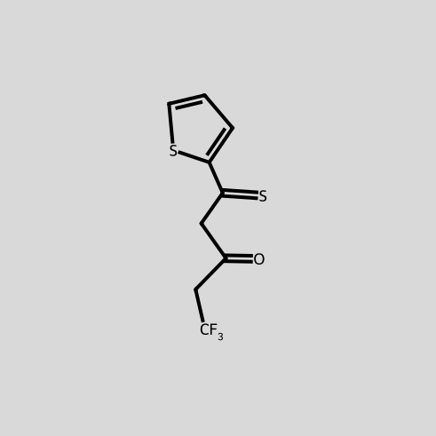 O=C(CC(=S)c1cccs1)CC(F)(F)F